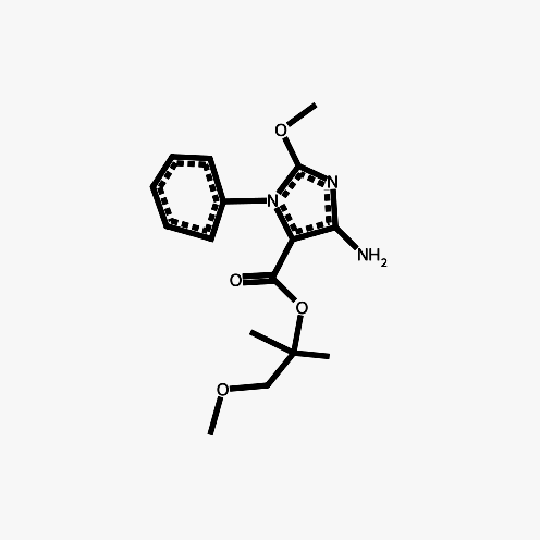 COCC(C)(C)OC(=O)c1c(N)nc(OC)n1-c1ccccc1